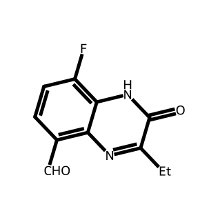 CCc1nc2c(C=O)ccc(F)c2[nH]c1=O